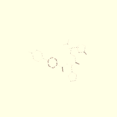 CCN1CCN(c2ccc(C(=O)N[C@H](C(=O)N3C[C@@H](C(F)F)[C@H]4OCC(=O)[C@H]43)C3CCCC3)cc2)CC1